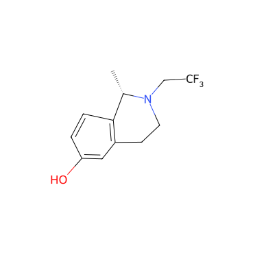 C[C@H]1c2ccc(O)cc2CCN1CC(F)(F)F